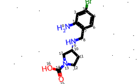 Nc1cc(Br)ccc1CN[C@@H]1CCN(C(=O)O)C1